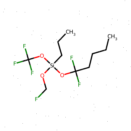 CCCCC(F)(F)O[Si](CCC)(OCF)OC(F)(F)F